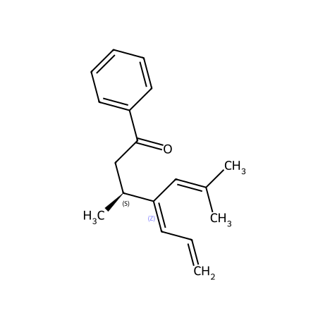 C=C/C=C(\C=C(C)C)[C@@H](C)CC(=O)c1ccccc1